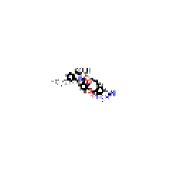 N=C(N)Nc1ccc2c(c1)CCCOc1c(cccc1C(=O)N(CCC(=O)O)Cc1cccc(C(=O)O)c1)OC2=O